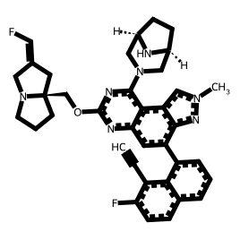 C#Cc1c(F)ccc2cccc(-c3cc4nc(OC[C@@]56CCCN5C/C(=C\F)C6)nc(N5C[C@H]6CC[C@@H](C5)N6)c4c4cn(C)nc34)c12